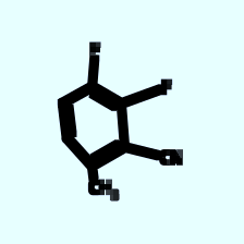 Cc1ccc(F)c(F)c1C#N